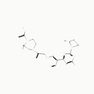 C[C@H]1CCN1c1nc(/C(C=N)=C/NCC(=O)N2CCN(C(=O)OC(C)(C)C)C(C)(C)C2)cc(C(F)(F)F)n1